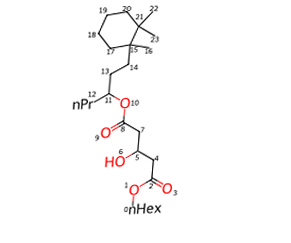 CCCCCCOC(=O)CC(O)CC(=O)OC(CCC)CCC1(C)CCCCC1(C)C